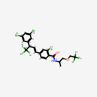 CC(CSCC(F)(F)F)NC(=O)c1ccc(/C=C/C(c2cc(Br)cc(Br)c2)C(F)(F)F)cc1Cl